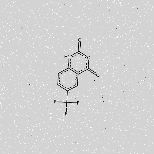 O=c1[nH]c2ccc(C(F)(F)F)cc2c(=O)o1